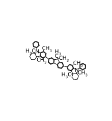 Cc1cc(-c2ccc3c(c2)C(C)(C)c2cc(-c4cc(C)c5c(c4)C4(C)CCCCC4(C)N5c4ccccc4)ccc2-3)cc2c1N(c1ccccc1)C1(C)CCCCC21C